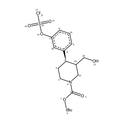 CC(C)(C)OC(=O)N1CC[C@@H](c2cccc(OS(=O)(=O)C(F)(F)F)c2)C(CO)C1